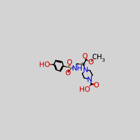 COC(=O)[C@H](CNS(=O)(=O)c1ccc(O)cc1)N1CCN(C(=O)O)CC1